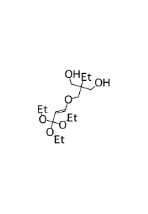 CCOC(C=COCC(CC)(CO)CO)(OCC)OCC